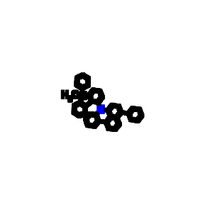 C[Si]1(c2ccccc2)c2ccccc2-c2c(N(c3ccc(-c4ccccc4)cc3)c3ccccc3-c3ccccc3)cccc21